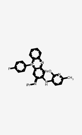 COc1nc(C)ccc1Nc1cc2nc3ccccc3n(-c3ccc(F)cc3)c-2c/c1=N\C(C)C